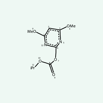 COc1cc(OC)nc(OC(=O)OC(C)C)n1